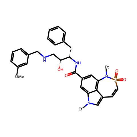 CCN1c2cc(C(=O)N[C@@H](Cc3ccccc3)[C@H](O)CNCc3cccc(OC)c3)cc3c2c(cn3CC)C=CS1(=O)=O